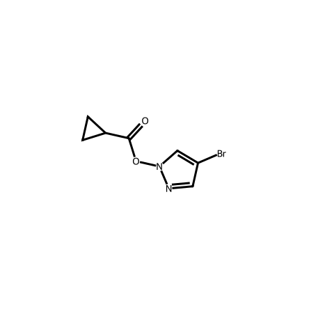 O=C(On1cc(Br)cn1)C1CC1